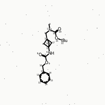 CN(CC12CC(NC(=O)OCc3ccccc3)(C1)C2)C(=O)OC(C)(C)C